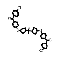 CC(C)(c1ccc(Oc2ccc(C(=O)c3ccc(Cl)cc3)cc2)cc1)c1ccc(Oc2ccc(C(=O)c3ccc(Cl)cc3)cc2)cc1